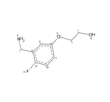 NCc1cc(OCCO)ccc1F